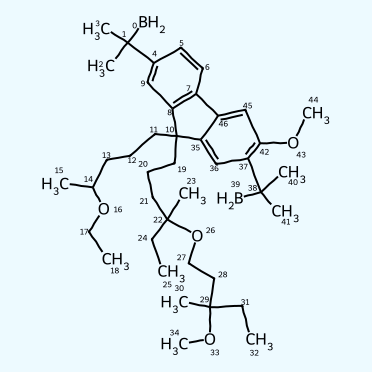 BC(C)(C)c1ccc2c(c1)C(CCCC(C)OCC)(CCCC(C)(CC)OCCC(C)(CC)OC)c1cc(C(B)(C)C)c(OC)cc1-2